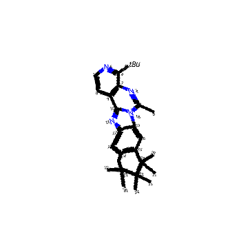 Cc1nc2c(C(C)(C)C)nccc2c2nc3cc4c(cc3n12)C(C)(C)C(C)(C)C4(C)C